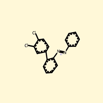 Clc1ccc(-c2ccccc2/N=N/c2ccccc2)cc1Cl